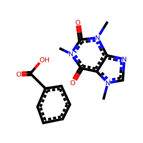 Cn1c(=O)c2c(ncn2C)n(C)c1=O.O=C(O)c1ccccc1